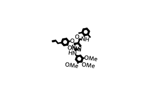 C=CCc1ccc(Oc2nc(Nc3cc(OC)c(OC)c(OC)c3)ncc2C(=O)Nc2c(C)cccc2C)c(OC)c1